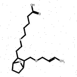 C/C=C/COCC1C2CCC(O2)C1CCSCCCCC(=O)O